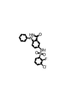 O=c1[nH]n(-c2ccccc2)c2ccc(NS(=O)(=O)c3cccc(Cl)c3F)cc12